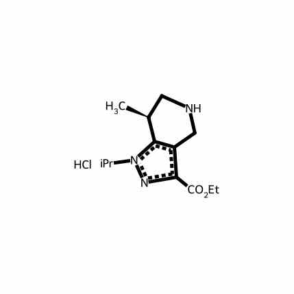 CCOC(=O)c1nn(C(C)C)c2c1CNC[C@@H]2C.Cl